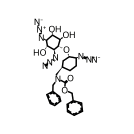 [N-]=[N+]=N[C@H]1[C@H](O)[C@@H](O)[C@H](O[C@H]2C[C@H](CN(Cc3ccccc3)C(=O)OCc3ccccc3)CC[C@H]2N=[N+]=[N-])[C@@H](N=[N+]=[N-])[C@@H]1O